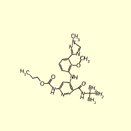 BC(B)(B)NC(=O)c1cnc(NC(=O)OCCC)cc1Nc1cccc(-c2ncn(C)n2)c1OC